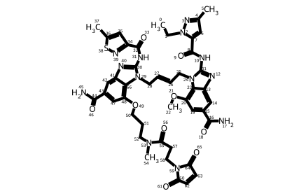 CCn1nc(C)cc1C(=O)Nc1nc2cc(C(N)=O)cc(OC)c2n1C/C=C/Cn1c(NC(=O)c2cc(C)sn2)nc2cc(C(N)=O)cc(OCCCN(C)C(=O)CCN3C(=O)C=CC3=O)c21